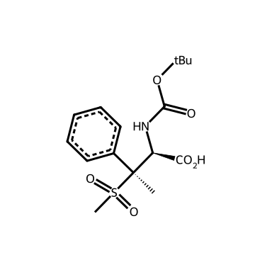 CC(C)(C)OC(=O)N[C@@H](C(=O)O)[C@](C)(c1ccccc1)S(C)(=O)=O